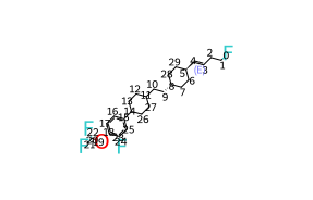 FCC/C=C/[C@H]1CC[C@H](CCC2CCC(c3ccc(OC(F)F)c(F)c3)CC2)CC1